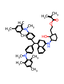 C=C(C)C(=O)OCCC1CCCC(Nc2ccc(C(c3ccc(N(C)c4c(C)cc(C)cc4C)cc3)c3ccc(N(C)c4c(C)cc(C)cc4C)cc3)c3ccccc23)C1O